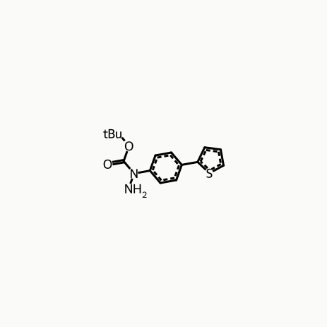 CC(C)(C)OC(=O)N(N)c1ccc(-c2cccs2)cc1